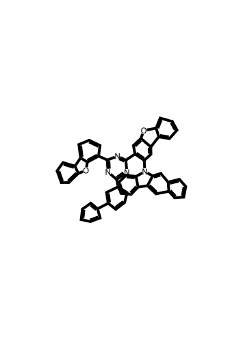 c1ccc(-c2cccc(-c3nc(-c4cc5oc6ccccc6c5cc4-n4c5ccccc5c5cc6ccccc6cc54)nc(-c4cccc5c4oc4ccccc45)n3)c2)cc1